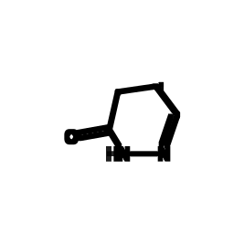 O=C1C[C]C=NN1